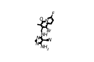 Cc1c(CNc2ncnc(N)c2C#N)c(Br)c2ccc(F)cn2c1=O